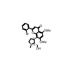 COc1cc(OC)c2c(=O)cc(-c3ccccc3Br)oc2c1[C@@H]1CCN(C)[C@H]1CO